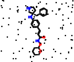 O=C(C=Cc1ccc(N[C@]2(Cc3ccccc3)CCNC2)cc1)NOC1CCCCO1